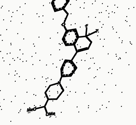 COC(OC)C1CCN(c2ccc(C3=CCC(F)(F)c4cc(OCc5ccccc5)ccc43)cc2)CC1